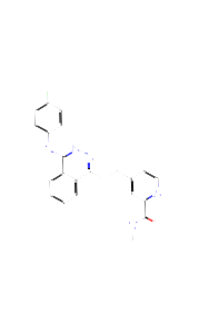 CNC(=O)c1cc(COc2nnc(Nc3ccc(Cl)cc3)c3ccccc23)ccn1